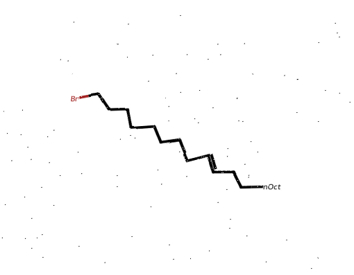 CCCCCCCCCCC=CCCCCCCCCBr